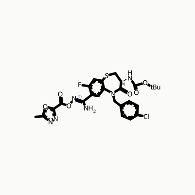 Cc1nnc(C(=O)O/N=C(\N)c2cc3c(cc2F)SC[C@H](NC(=O)OC(C)(C)C)C(=O)N3Cc2ccc(Cl)cc2)o1